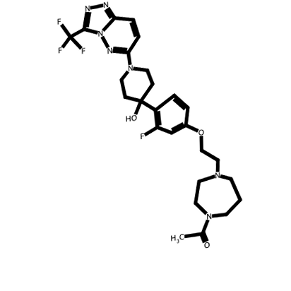 CC(=O)N1CCCN(CCOc2ccc(C3(O)CCN(c4ccc5nnc(C(F)(F)F)n5n4)CC3)c(F)c2)CC1